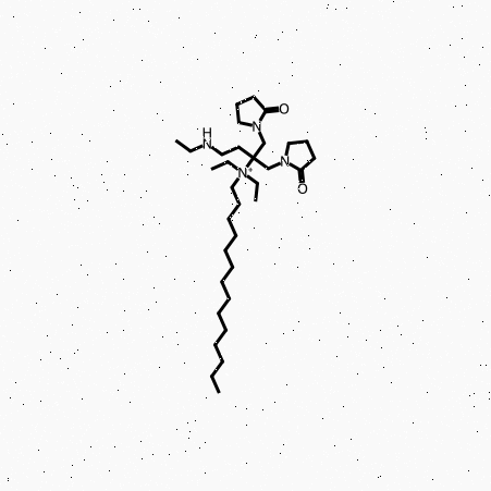 CCCCCCCCCCCCCC[N+](CC)(CC)C(CCNCC)(CN1CCCC1=O)CN1CCCC1=O